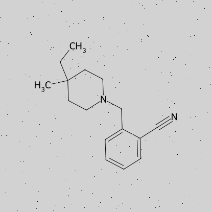 CCC1(C)CCN(Cc2ccccc2C#N)CC1